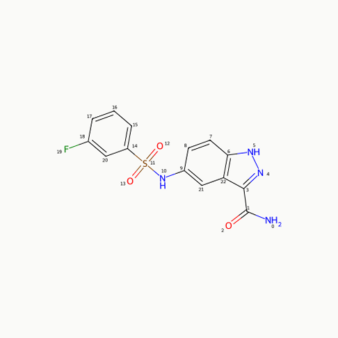 NC(=O)c1n[nH]c2ccc(NS(=O)(=O)c3cccc(F)c3)cc12